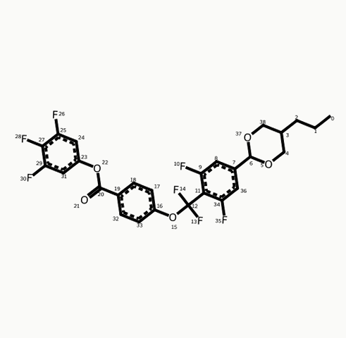 CCCC1COC(c2cc(F)c(C(F)(F)Oc3ccc(C(=O)Oc4cc(F)c(F)c(F)c4)cc3)c(F)c2)OC1